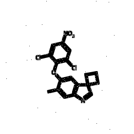 Cc1cc2c(cc1Oc1c(Cl)cc([N+](=O)[O-])cc1Cl)C1(C=N2)CCC1